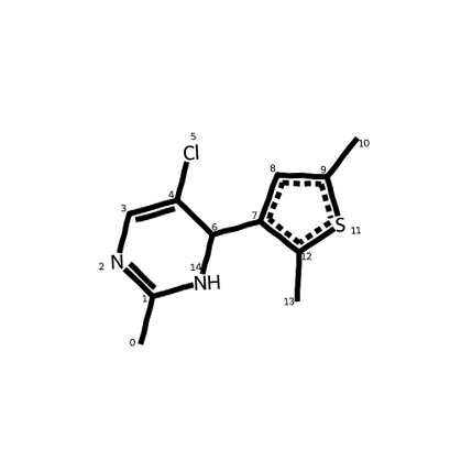 CC1=NC=C(Cl)C(c2cc(C)sc2C)N1